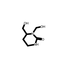 O=C1NCCC(CO)N1CO